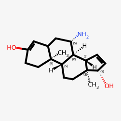 C[C@]12CC[C@H]3[C@@H]([C@@H](N)CC4C=C(O)CC[C@@]43C)[C@@H]1C=C[C@@H]2O